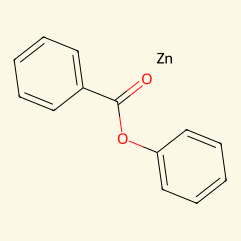 O=C(Oc1ccccc1)c1ccccc1.[Zn]